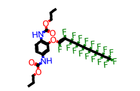 CCCOC(=O)Nc1ccc(NC(=O)OCCC)c(OC(F)=C(F)C(F)(F)C(F)(F)C(F)(F)C(F)(F)C(F)(F)C(F)(F)C(F)(F)F)c1